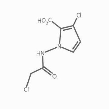 O=C(CCl)Nn1ccc(Cl)c1C(=O)O